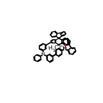 CC1(C)c2ccccc2C2(c3ccccc3-c3ccccc32)c2ccc(-c3cccc(N(c4ccccc4)c4cccc(-c5ccc(-n6c7ccccc7c7ccccc76)cc5)c4)c3)cc21